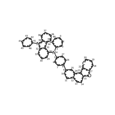 c1ccc(N(c2ccc(-c3ccc4ccc5oc6ccccc6c5c4c3)cc2)c2cccc3c2c2ccccc2n3-c2ccccc2)cc1